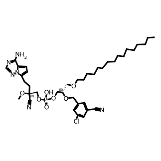 CCCCCCCCCCCCCCCCOC[C@@H](COP(=O)(O)OC[C@](C#N)(CCc1ccc2c(N)ncnn12)OC)OCc1cc(Cl)cc(C#N)c1